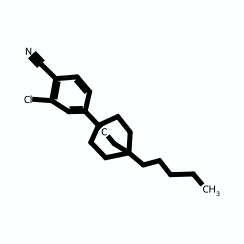 CCCCCC12CCC(c3ccc(C#N)c(Cl)c3)(CC1)CC2